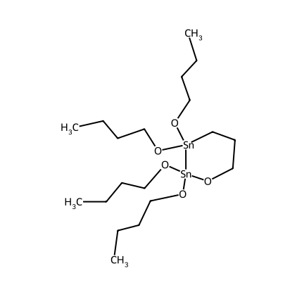 CCCC[O][Sn]1([O]CCCC)[CH2]CC[O][Sn]1([O]CCCC)[O]CCCC